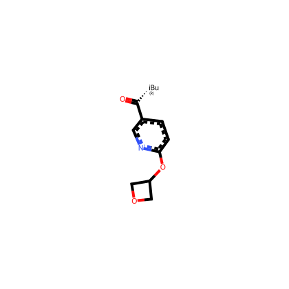 CC[C@@H](C)C(=O)c1ccc(OC2COC2)nc1